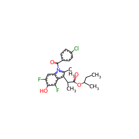 CCC(C)OC(=O)C(C)c1c(C)n(C(=O)c2ccc(Cl)cc2)c2cc(F)c(O)c(F)c12